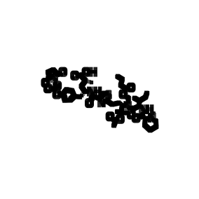 CCCC(=O)OCN(C(=O)[C@H](NC(=O)[C@@H]1CCCCN1C)C(C)CC)[C@@H](CCc1nc(C(=O)N[C@H](Cc2ccc(OC(=O)ON3C(=O)CCC3=O)cc2)C[C@@H](C)C(=O)O)cs1)C(C)(C)OC(C)=O